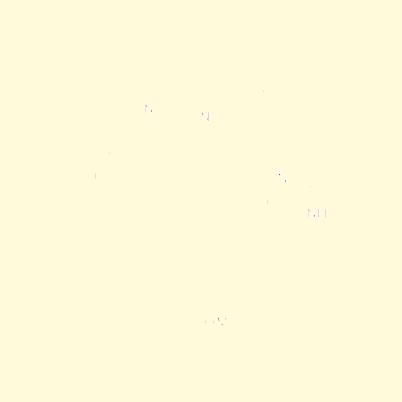 CCOc1ccccc1N1CCN(CCCN2C(=O)N/C(=C/c3cccc(OC)c3)C2=O)CC1.Cl